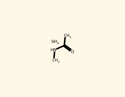 CNC(C)=O.[SiH4]